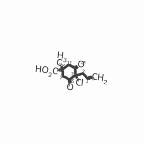 C=CCC1(Cl)C(=O)CC(C)(C(=O)O)CC1=O